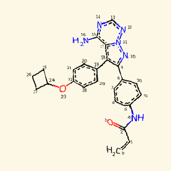 C=CC(=O)Nc1ccc(-c2nn3ncnc(N)c3c2-c2ccc(OC3CCC3)cc2)cc1